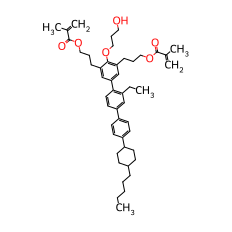 C=C(C)C(=O)OCCCc1cc(-c2ccc(-c3ccc(C4CCC(CCCCC)CC4)cc3)cc2CC)cc(CCCOC(=O)C(=C)C)c1OCCCO